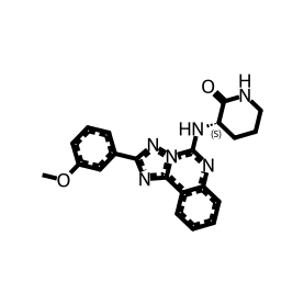 COc1cccc(-c2nc3c4ccccc4nc(N[C@H]4CCCNC4=O)n3n2)c1